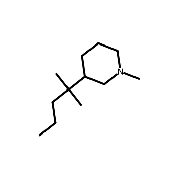 CCCC(C)(C)C1CCCN(C)C1